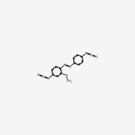 COc1cc(N=C=O)ccc1/N=N/c1ccc(N=C=O)cc1